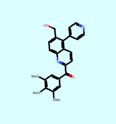 COc1cc(C(=O)c2ccc3c(-c4ccncc4)c(CO)ccc3n2)cc(OC)c1OC